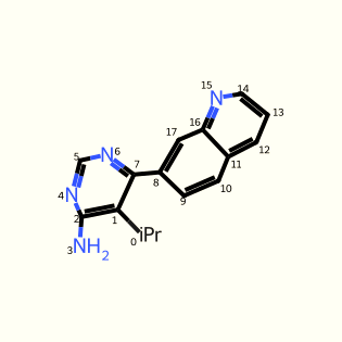 CC(C)c1c(N)ncnc1-c1ccc2cccnc2c1